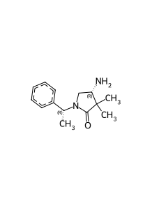 C[C@H](c1ccccc1)N1C[C@H](N)C(C)(C)C1=O